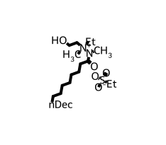 CCCCCCCCCCCCCCCCCC(=O)N(C)[N+](C)(CC)CCO.CCS(=O)(=O)[O-]